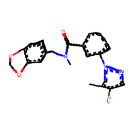 Cc1c(Cl)cnn1-c1cccc(C(=O)N(C)c2ccc3c(c2)OCO3)c1